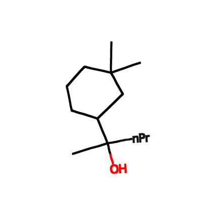 CCCC(C)(O)C1CCCC(C)(C)C1